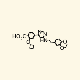 O=C(O)c1ccc(-c2cc(NCCc3ccc4c(c3)OCCO4)ncn2)cc1OC1CCC1